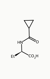 CC[C@@H](NC(=O)C1CC1)C(=O)O